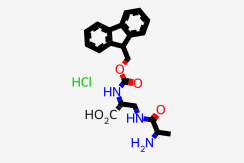 CC(N)C(=O)NCC(NC(=O)OCC1c2ccccc2-c2ccccc21)C(=O)O.Cl